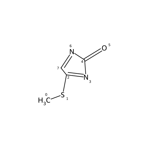 CSC1=NC(=O)N=C1